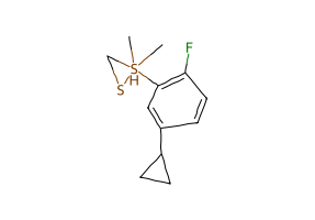 C[SH]1(C)(c2cc(C3CC3)ccc2F)CS1